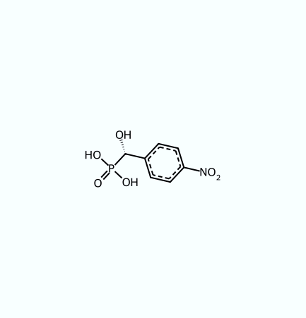 O=[N+]([O-])c1ccc([C@@H](O)P(=O)(O)O)cc1